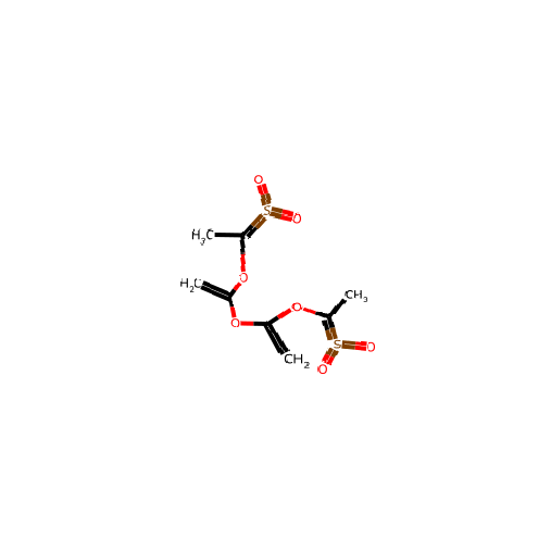 C=C(OC(=C)OC(C)=S(=O)=O)OC(C)=S(=O)=O